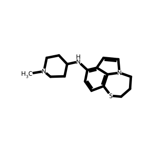 CN1CCC(Nc2ccc3c4c2ccn4CCCS3)CC1